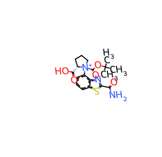 CC(C)(C)OC(=O)[N+]1(c2cccc3sc(C(N)=O)nc23)CCC[C@H]1C(=O)O